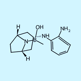 CB(O)N1[C@@H]2CC[C@H]1C[C@@H](Nc1ccccc1N)C2